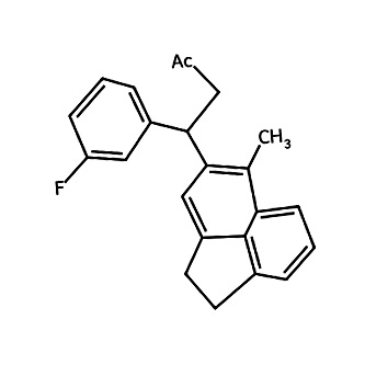 CC(=O)CC(c1cccc(F)c1)c1cc2c3c(cccc3c1C)CC2